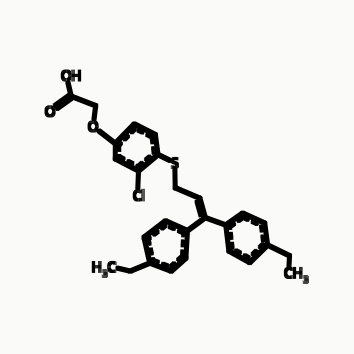 CCc1ccc(C(=CCSc2ccc(OCC(=O)O)cc2Cl)c2ccc(CC)cc2)cc1